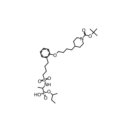 CCC(C)OP(=O)(O)C(C)NS(=O)(=O)CCCCc1ccccc1OCCCCC1CCN(C(=O)OC(C)(C)C)CC1